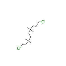 CC(C)(CCCl)CCC(C)(C)CCCCl